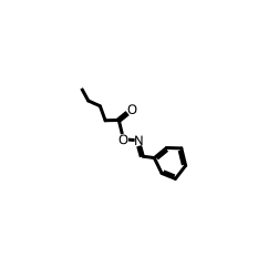 CCCCC(=O)ON=Cc1ccccc1